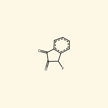 O=C1C(=O)C(F)c2ccccc21